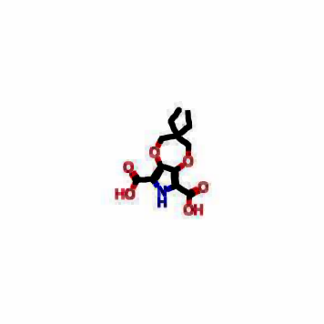 CCC1(CC)COc2c(C(=O)O)[nH]c(C(=O)O)c2OC1